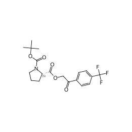 CC(C)(C)OC(=O)N1CCC[C@H]1C(=O)OCC(=O)c1ccc(C(F)(F)F)cc1